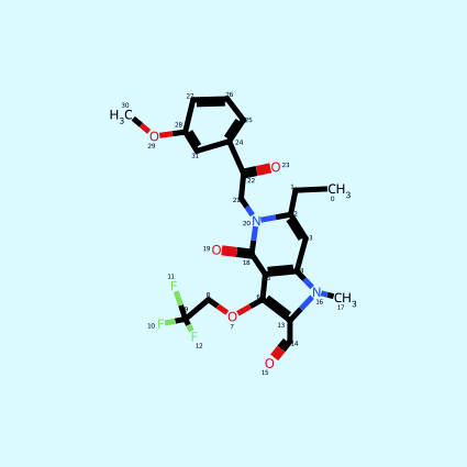 CCc1cc2c(c(OCC(F)(F)F)c(C=O)n2C)c(=O)n1CC(=O)c1cccc(OC)c1